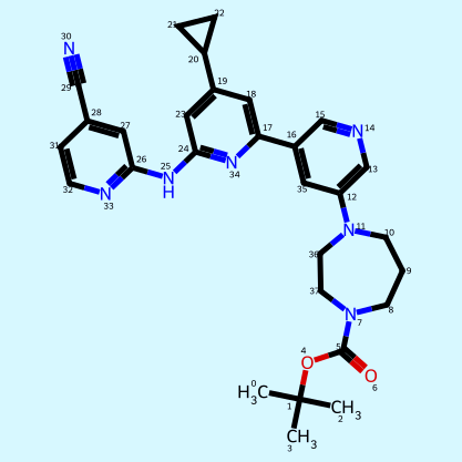 CC(C)(C)OC(=O)N1CCCN(c2cncc(-c3cc(C4CC4)cc(Nc4cc(C#N)ccn4)n3)c2)CC1